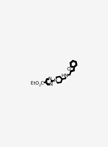 CCOC(=O)c1cnc(N2CCC(CNCc3cc4ccccc4o3)CC2)nc1